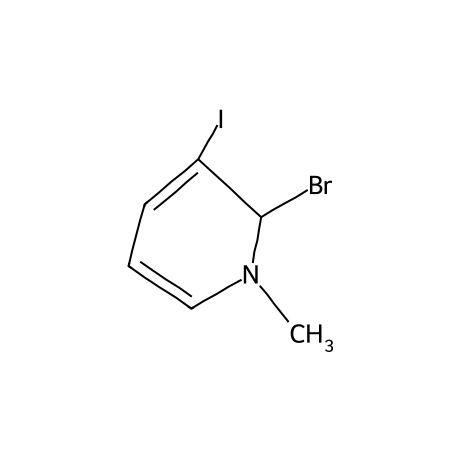 CN1C=CC=C(I)C1Br